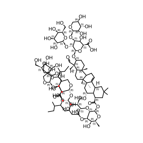 CCC(C)C(CC(O)CC(=O)O[C@@H]1[C@H](O)[C@H](C)O[C@H](OC(=O)[C@@H]2CC(C)(C)C[C@@H]3C4=CCC5[C@@]6(C)CC[C@H](O[C@@H]7O[C@H](C(=O)O)C(O)[C@H](O[C@H]8OC[C@@H](O)[C@H](O)[C@H]8O)[C@H]7O[C@@H]7O[C@H](CO)[C@H](O)[C@H](O)[C@H]7O)[C@@](C)(C=O)[C@@H]6CC[C@@]5(C)[C@]4(C)C[C@@H](O)C32)[C@H]1O[C@H](O)[C@H](O)[C@H](O)[C@H](CC)O[C@H]1OCC(O)[C@H](O[C@H]2OC[C@](O)(CO)[C@H]2O)[C@H]1O)OC(=O)CC(O)CC(O[C@@H]1C[C@@H](CO)[C@H](O)[C@H]1O)C(C)CC